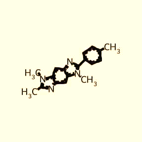 Cc1ccc(-c2nc3cc4c(cc3n2C)nc(C)n4C)cc1